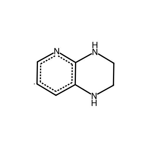 [c]1cnc2c(c1)NCCN2